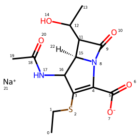 CCSC1=C(C(=O)[O-])N2C(=O)C(C(C)O)[C@@H]2C1NC(C)=O.[Na+]